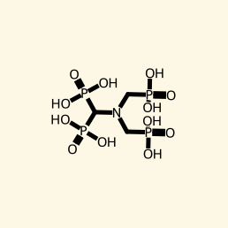 O=P(O)(O)CN(CP(=O)(O)O)C(P(=O)(O)O)P(=O)(O)O